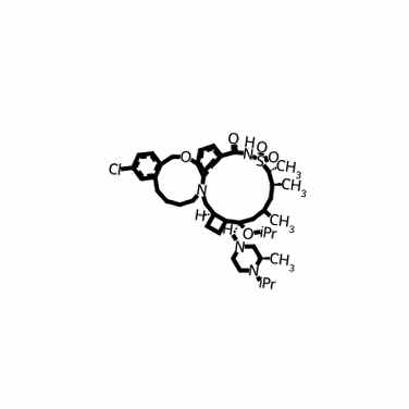 CC1C[C@H](C)[C@@H](C)S(=O)(=O)NC(=O)c2ccc3c(c2)N(CCCCc2cc(Cl)ccc2CO3)C[C@@H]2CC[C@H]2[C@](CN2CCN(C(C)C)[C@H](C)C2)(OC(C)C)C1